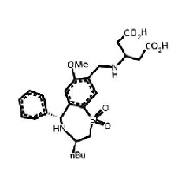 CCCC[C@@H]1CS(=O)(=O)c2cc(CNC(CC(=O)O)CC(=O)O)c(OC)cc2[C@@H](c2ccccc2)N1